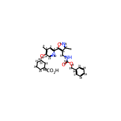 Cc1cc(-c2onc(C)c2CNC(=O)OCc2ccccc2)ncc1O[C@H]1CCC[C@H](C(=O)O)C1